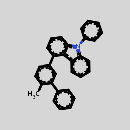 Cc1ccc(-c2cccc3c2c2ccccc2n3-c2ccccc2)cc1-c1ccccc1